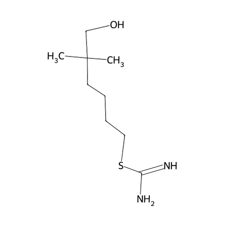 CC(C)(CO)CCCCSC(=N)N